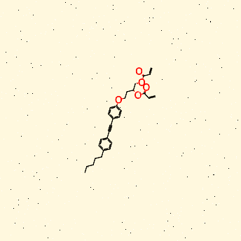 C=CC(=O)OCC(CCOc1ccc(C#Cc2ccc(CCCCC)cc2)cc1)OC(=O)C=C